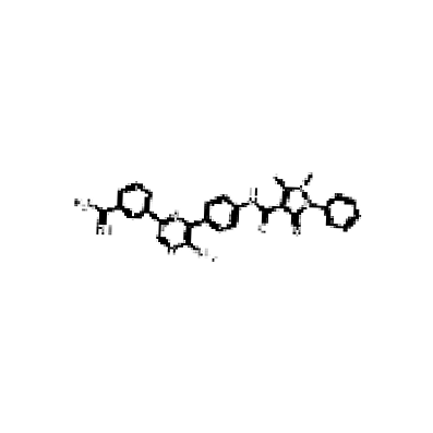 Cc1c(C(=O)Nc2ccc(-c3nc(-c4cccc(C(=N)N)c4)cnc3N)cc2)c(=O)n(-c2ccccc2)n1C